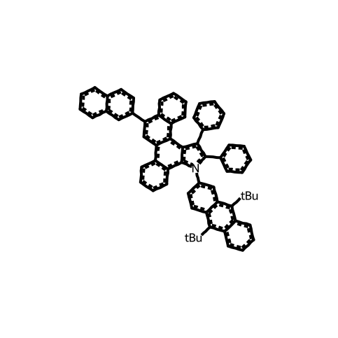 CC(C)(C)c1c2ccccc2c(C(C)(C)C)c2cc(-n3c(-c4ccccc4)c(-c4ccccc4)c4c5c6ccccc6c(-c6ccc7ccccc7c6)cc5c5ccccc5c43)ccc12